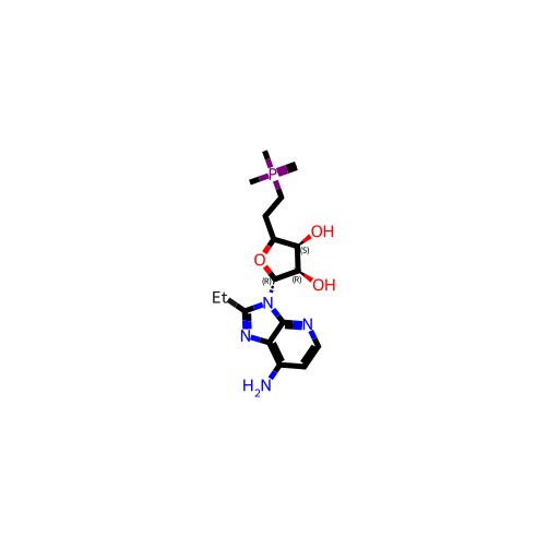 C=P(C)(C)CCC1O[C@@H](n2c(CC)nc3c(N)ccnc32)[C@H](O)[C@@H]1O